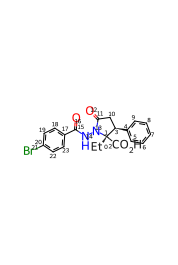 CC[C@]1(C(=O)O)[C@H](c2ccccc2)CC(=O)N1NC(=O)c1ccc(Br)cc1